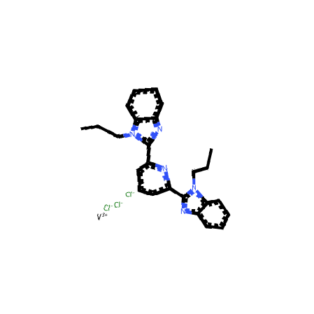 CCCn1c(-c2cccc(-c3nc4ccccc4n3CCC)n2)nc2ccccc21.[Cl-].[Cl-].[Cl-].[V+3]